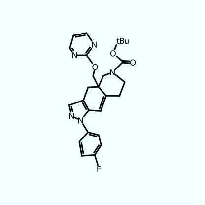 CC(C)(C)OC(=O)N1CCC2=Cc3c(cnn3-c3ccc(F)cc3)CC2(COc2ncccn2)C1